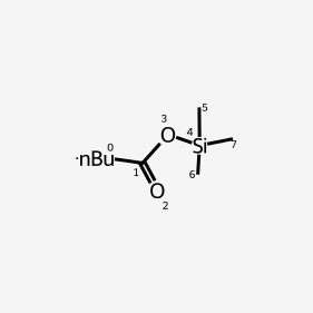 CCC[CH]C(=O)O[Si](C)(C)C